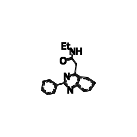 CCNC(=O)Cc1nc(-c2ccccc2)nc2ccccc12